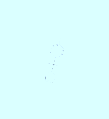 CC(C)(c1ccc(O)cc1)c1ccco1